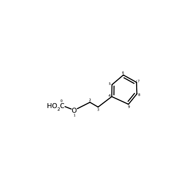 O=C(O)OCCc1cc[c]cc1